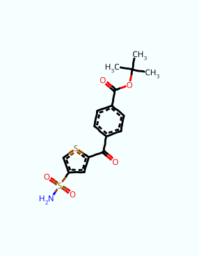 CC(C)(C)OC(=O)c1ccc(C(=O)c2cc(S(N)(=O)=O)cs2)cc1